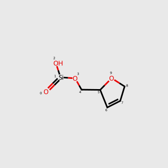 O=[Si](O)OCC1C=CCO1